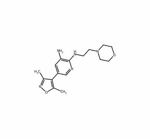 Cc1noc(C)c1-c1cnc(NCCN2CCOCC2)c(N)c1